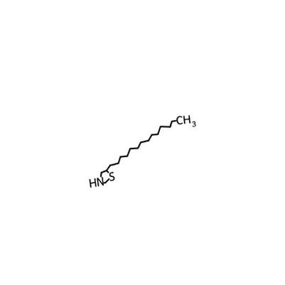 CCCCCCCCCCCCCCC1CNCS1